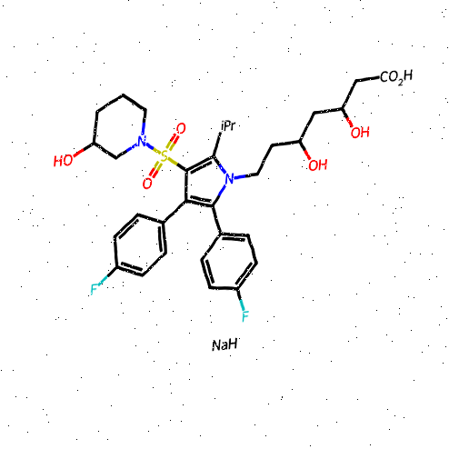 CC(C)c1c(S(=O)(=O)N2CCCC(O)C2)c(-c2ccc(F)cc2)c(-c2ccc(F)cc2)n1CCC(O)CC(O)CC(=O)O.[NaH]